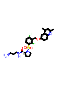 Cc1cc(C)c2cc(OCc3c(Cl)ccc(S(=O)(=O)N4CCC[C@H]4C(=O)NCCCN)c3Cl)ccc2n1